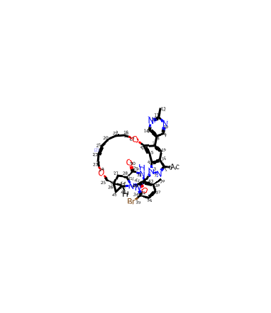 CC(=O)c1nn2c3cc(c(-c4cnc(C)nc4)cc13)OCCC/C=C\COC[C@@]13C[C@@H](C(=O)Nc4nc(Br)ccc4C)N(C(=O)C2)[C@@H]1C3